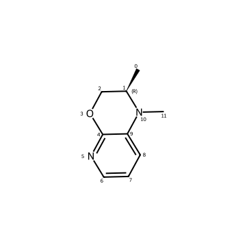 C[C@@H]1COc2ncccc2N1C